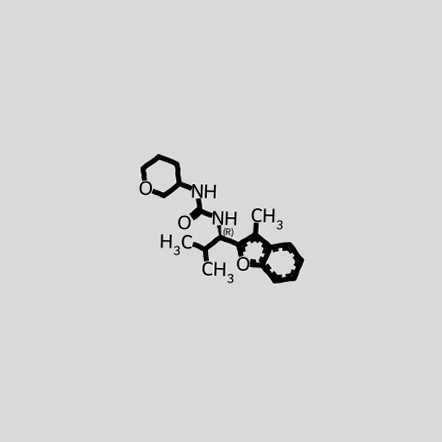 Cc1c([C@H](NC(=O)NC2CCCOC2)C(C)C)oc2ccccc12